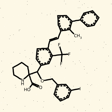 Cc1c(C=Cc2ccc(C(OCc3cccc(I)c3)C3(C(=O)O)CCCCN3)cc2C(F)(F)F)cccc1-c1ccccc1